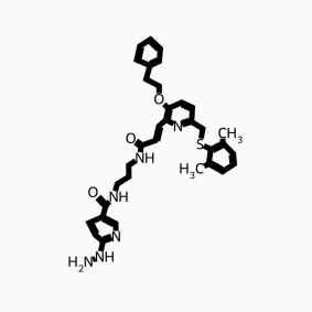 Cc1cccc(C)c1SCc1ccc(OCCc2ccccc2)c(C=CC(=O)NCCCNC(=O)c2ccc(NN)nc2)n1